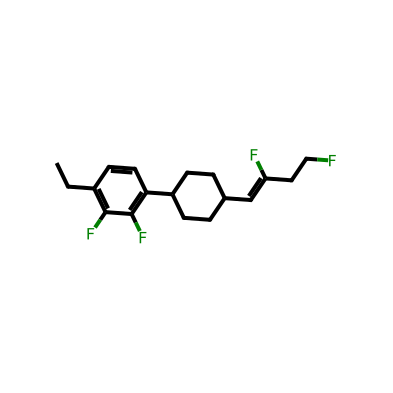 CCc1ccc(C2CCC(/C=C(\F)CCF)CC2)c(F)c1F